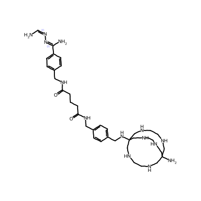 N/C=N\N=C(/N)c1ccc(CNC(=O)CCCC(=O)NCc2ccc(CNC34CNCCNCC(N)(CNCCNC3)CNCCNC4)cc2)cc1